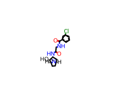 O=C(CNC(=O)c1cccc(Cl)c1)N[C@@H]1C[C@H]2CC[C@@H](C1)N2C(=O)O